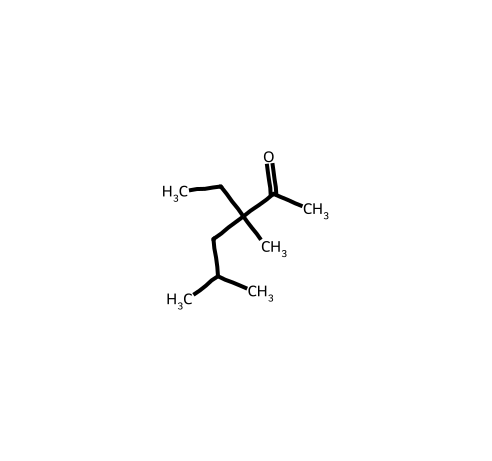 CCC(C)(CC(C)C)C(C)=O